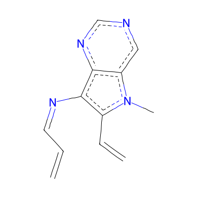 C=C/C=N\c1c(C=C)n(C)c2cncnc12